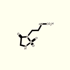 O=C(O)NCCN1C(=O)CNS1(=O)=O